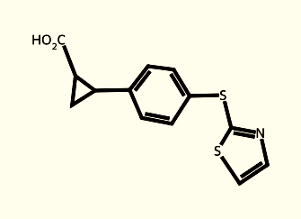 O=C(O)C1CC1c1ccc(Sc2nccs2)cc1